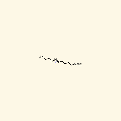 CNCCCC/C=N/OCCC(C)=O